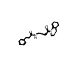 O=C(C=Cc1ccccc1)NCCC(=O)N1CCCC2CCCC=C21